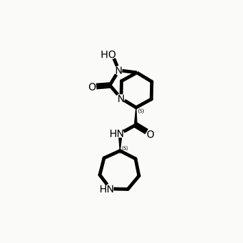 O=C(N[C@H]1CCCNCC1)[C@@H]1CCC2CN1C(=O)N2O